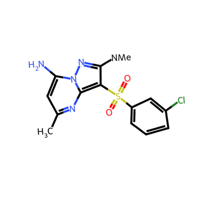 CNc1nn2c(N)cc(C)nc2c1S(=O)(=O)c1cccc(Cl)c1